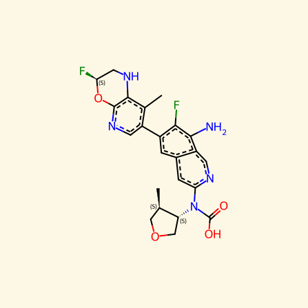 Cc1c(-c2cc3cc(N(C(=O)O)[C@@H]4COC[C@H]4C)ncc3c(N)c2F)cnc2c1NC[C@H](F)O2